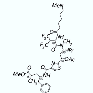 CNCCCCCC(=O)N[C@@H](C(=O)N(C)[C@H](C[C@@H](OC(C)=O)c1nc(C(=O)N[C@@H](Cc2ccccc2)C[C@H](C)C(=O)OC)cs1)C(C)C)C(C(F)(F)F)C(F)(F)F